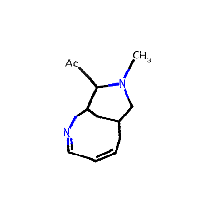 CC(=O)C1C2N=CC=CC2CN1C